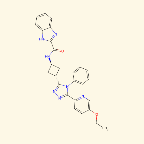 CCOc1ccc(-c2nnc([C@H]3C[C@H](NC(=O)c4nc5ccccc5[nH]4)C3)n2-c2ccccc2)nc1